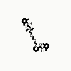 CC[N+](CC)(CCOCCOCCN1CCCCC1C(=O)Nc1c(C)cccc1C)CC(=O)Nc1c(C)cccc1C